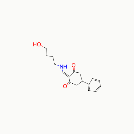 O=C1CC(c2ccccc2)CC(=O)C1=CNCCCCO